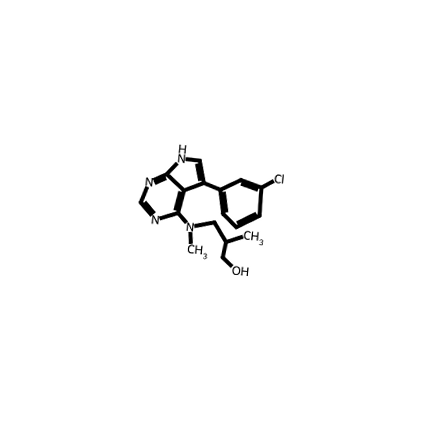 CC(CO)CN(C)c1ncnc2[nH]cc(-c3cccc(Cl)c3)c12